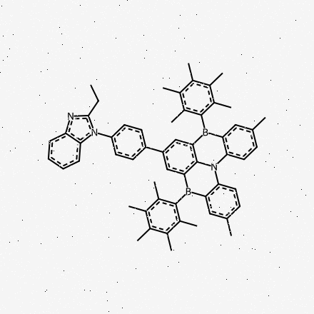 CCc1nc2ccccc2n1-c1ccc(-c2cc3c4c(c2)B(c2c(C)c(C)c(C)c(C)c2C)c2cc(C)ccc2N4c2ccc(C)cc2B3c2c(C)c(C)c(C)c(C)c2C)cc1